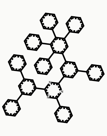 c1ccc(-c2cc(-c3ccccc3)cc(-c3nc(-c4ccccc4)nc(-c4cc(-c5ccccc5)cc(-c5cc(-c6ccccc6)c(-c6ccccc6)c(-c6ccccc6)c5-c5ccccc5)c4)n3)c2)cc1